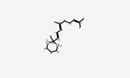 CC(C)=CCC/C(C)=C/C=C/C1(C)OCCCO1